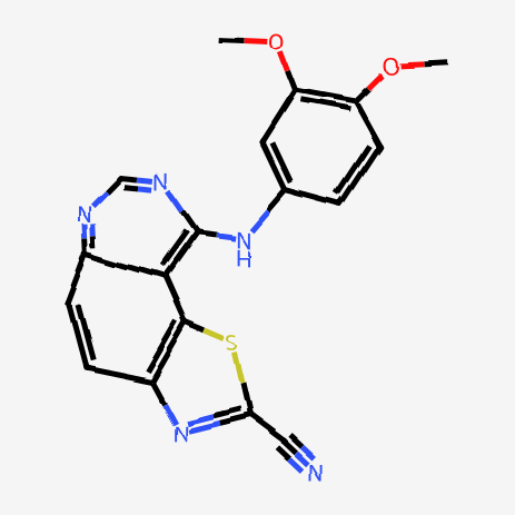 COc1ccc(Nc2ncnc3ccc4nc(C#N)sc4c23)cc1OC